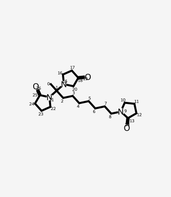 CC(CCCCCCCN1CCCC1=O)(N1CCC(=O)C1)N1CCCC1=O